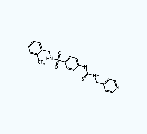 O=S(=O)(NCc1ccccc1C(F)(F)F)c1ccc(NC(=S)NCc2ccncc2)cc1